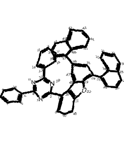 C1=C(c2nc(-c3ccccc3)nc(-c3ccccc3)n2)c2c(oc3c(-c4cccc5ccccc45)cc(-c4cccc5ccccc45)cc23)CC1